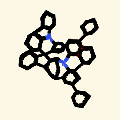 c1ccc(-c2ccc(N3c4cc(cc5c4C4(c6ccccc6-5)c5ccccc5-n5c6ccccc6c6cccc4c65)-c4cc(-c5ccccc5)cc(-c5ccccc5)c43)cc2)cc1